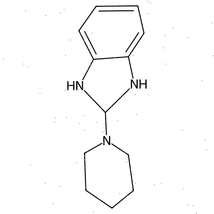 c1ccc2c(c1)NC(N1CCCCC1)N2